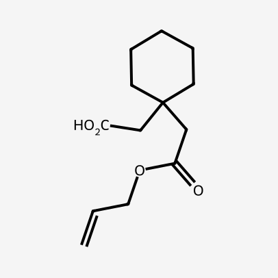 C=CCOC(=O)CC1(CC(=O)O)CCCCC1